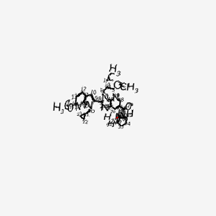 CC[C@H](COC)Cn1c(-c2cc3ccc(OC)nc3n2CC2CC2)nc2cc(C(=O)N3C[C@H]4CC[C@@H]3[C@@H]4N)cnc21